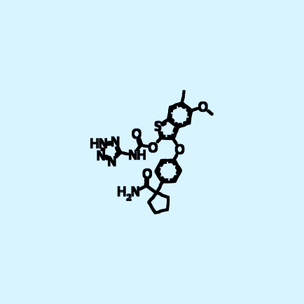 COc1cc2c(Oc3ccc(C4(C(N)=O)CCCC4)cc3)c(OC(=O)Nc3nn[nH]n3)sc2cc1C